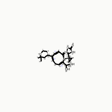 C=C1/C=C\C([C@H]2CCOC(C)(C)C2)=C/C/C=C(/C(O)O)N1[C@@]1(c2noc(=O)[nH]2)C[C@@H]1C